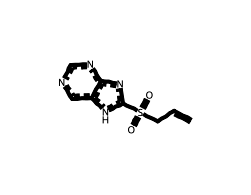 C=CCS(=O)(=O)c1nc2ncncc2[nH]1